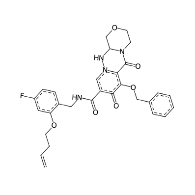 C=CCCOc1cc(F)ccc1CNC(=O)c1cn2c(c(OCc3ccccc3)c1=O)C(=O)N1CCOCC1N2